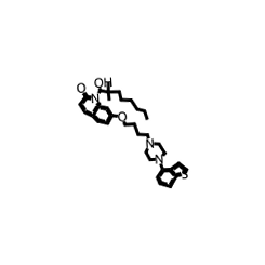 CCCCCCC(C)(C)C(O)n1c(=O)ccc2ccc(OCCCCN3CCN(c4cccc5sccc45)CC3)cc21